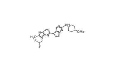 CO[C@H]1CC[C@@H](Nc2ncc3c(-c4ccc5nc(C)n(CC(F)F)c5n4)ccn3n2)CC1